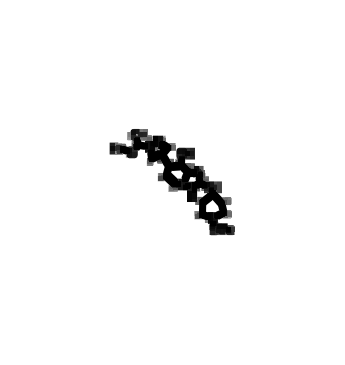 CCOC(C)n1cc(C2=C(O)C3=NC(NC4CCN(SC)CC4)NN3C=C2)cn1